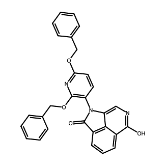 O=C1c2cccc3c(O)ncc(c23)N1c1ccc(OCc2ccccc2)nc1OCc1ccccc1